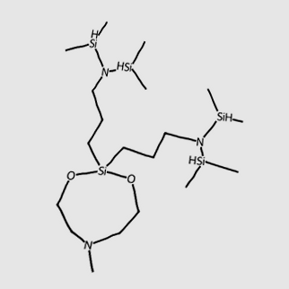 CN1CCO[Si](CCCN([SiH](C)C)[SiH](C)C)(CCCN([SiH](C)C)[SiH](C)C)OCC1